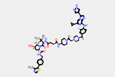 Cc1ncsc1-c1ccc(CNC(=O)[C@@H]2C[C@@H](O)CN2C(=O)[C@@H](NC(=O)CCC(=O)NC2CCN(C(=O)CN3CCN(C(=O)c4ccc(Nc5nc(C6CC6)cn6c(-c7cn[nH]c7)cnc56)c(F)c4)CC3)CC2)C(C)(C)C)cc1